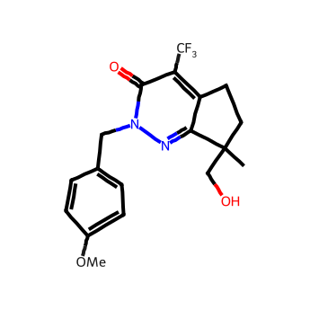 COc1ccc(Cn2nc3c(c(C(F)(F)F)c2=O)CCC3(C)CO)cc1